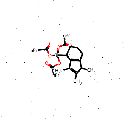 CCCC(=O)[O][Ti]([O]C(=O)CCC)([O]C(=O)CCC)[CH]1CCCC2=C1C(C)=C(C)C2C